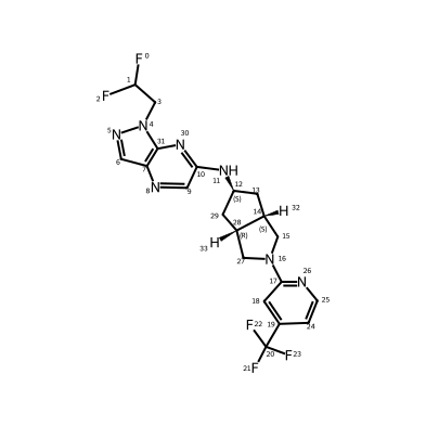 FC(F)Cn1ncc2ncc(N[C@H]3C[C@@H]4CN(c5cc(C(F)(F)F)ccn5)C[C@@H]4C3)nc21